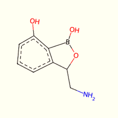 NCC1OB(O)c2c(O)cccc21